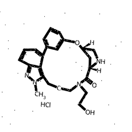 Cl.Cn1nc2cccc3c2c1CCCN(CCO)C(=O)[C@@H]1C[C@@H](CN1)Oc1cccc-3c1